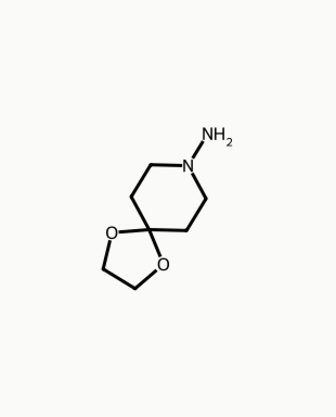 NN1CCC2(CC1)OCCO2